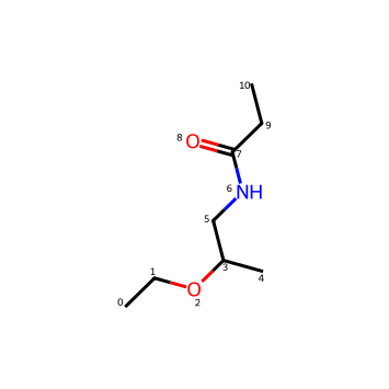 CCOC(C)CNC(=O)CC